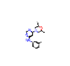 Cc1cccc(Nc2cc(N3CC(C)OC(C)C3)ncn2)c1